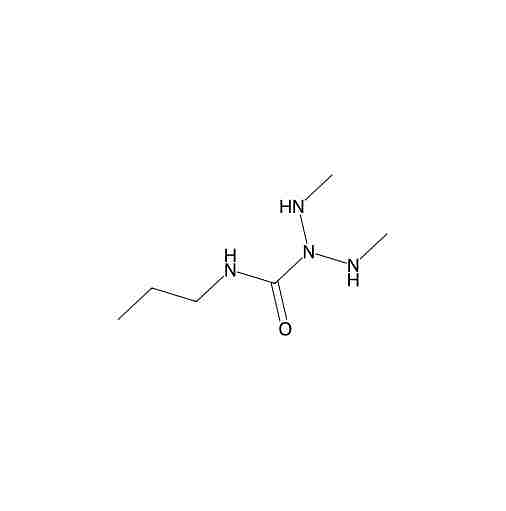 CCCNC(=O)N(NC)NC